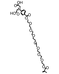 C=C(C)C(=O)OCCOCCOCCOCCOCCOCCOCCOCCOC(=O)c1ccc(N(CC(=O)O)CC(=O)O)cc1